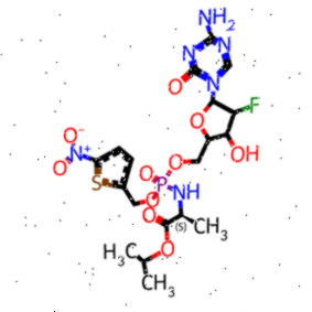 CC(C)OC(=O)[C@H](C)NP(=O)(OCc1ccc([N+](=O)[O-])s1)OCC1OC(n2cnc(N)nc2=O)C(F)C1O